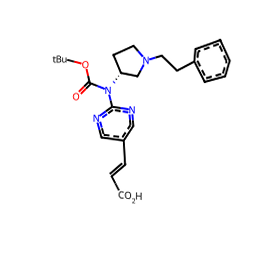 CC(C)(C)OC(=O)N(c1ncc(C=CC(=O)O)cn1)[C@@H]1CCN(CCc2ccccc2)C1